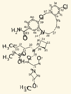 COC1CN([C@H]2CO[C@@H]([C@H](CCC[C@H](C)[C@@H](C)S(=O)O)[C@@H]3CC[C@H]3CN3CCCCc4cc(Cl)ccc4COc4ccc(C(N)=O)cc43)OC2)C1